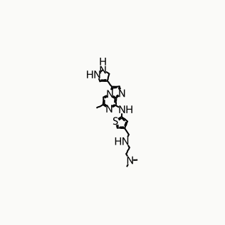 Cc1cn2c(C3=CNNC3)cnc2c(Nc2cc(CNCCN(C)C)cs2)n1